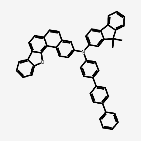 CC1(C)c2ccccc2-c2ccc(N(c3ccc(-c4ccc(-c5ccccc5)cc4)cc3)c3ccc4c(ccc5ccc6c7ccccc7oc6c54)c3)cc21